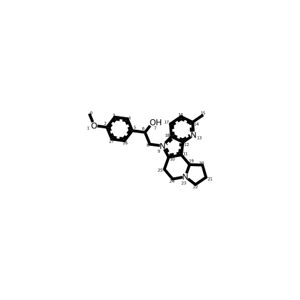 COc1ccc(C(O)Cn2c3c(c4nc(C)ccc42)C2CCCN2CC3)cc1